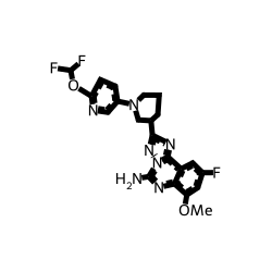 COc1cc(F)cc2c1nc(N)n1nc(C3CCCN(c4ccc(OC(F)F)nc4)C3)nc21